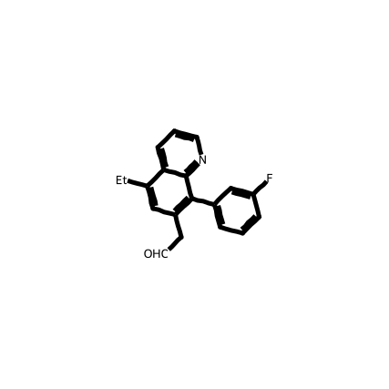 CCc1cc(CC=O)c(-c2cccc(F)c2)c2ncccc12